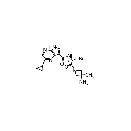 CC1(N)CN(C(=O)[C@H](NC(=O)c2c[nH]c3ncc(C4CC4)nc23)C(C)(C)C)C1